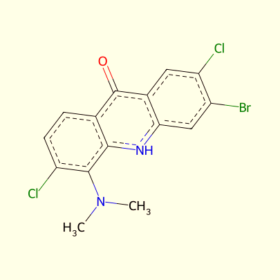 CN(C)c1c(Cl)ccc2c(=O)c3cc(Cl)c(Br)cc3[nH]c12